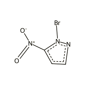 O=[N+]([O-])c1ccnn1Br